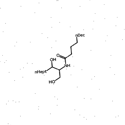 CCCCCCCCCCCCCC(=O)NC(CO)C(O)CCCCCCC